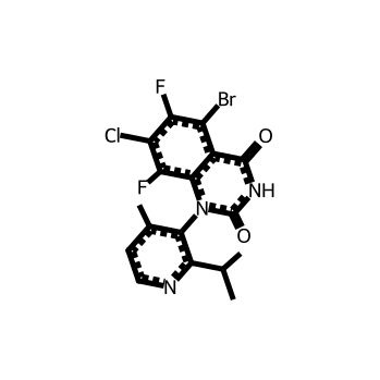 Cc1ccnc(C(C)C)c1-n1c(=O)[nH]c(=O)c2c(Br)c(F)c(Cl)c(F)c21